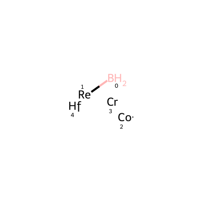 [BH2][Re].[Co].[Cr].[Hf]